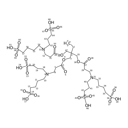 CCC(COC(=O)CCN(CCCCS(=O)(=O)O)CCCS(=O)(=O)O)(COC(=O)CCN(CCCCS(=O)(=O)O)CCCS(=O)(=O)O)COC(=O)CCN(CCCCS(=O)(=O)O)CCCS(=O)(=O)O